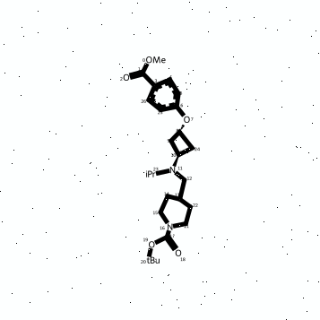 COC(=O)c1ccc(O[C@H]2C[C@H](N(CC3CCN(C(=O)OC(C)(C)C)CC3)C(C)C)C2)cc1